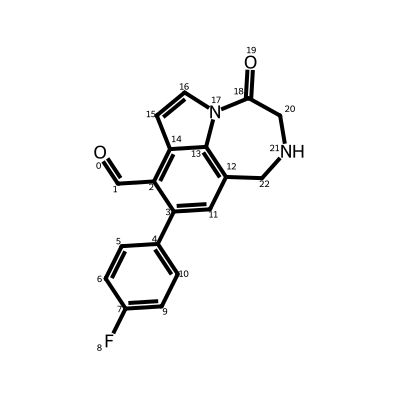 O=Cc1c(-c2ccc(F)cc2)cc2c3c1ccn3C(=O)CNC2